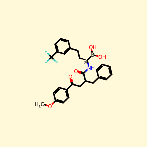 COc1ccc(C(=O)CC(Cc2ccccc2)C(=O)N[C@@H](CCc2cccc(C(F)(F)F)c2)B(O)O)cc1